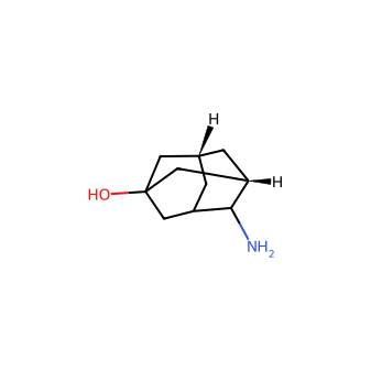 NC1C2C[C@H]3C[C@H]1CC(O)(C2)C3